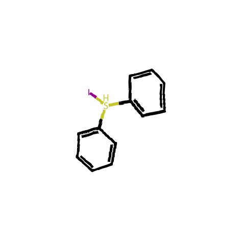 I[SH](c1ccccc1)c1ccccc1